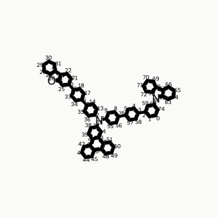 c1cc(-c2ccc(-c3ccc(N(c4ccc(-c5ccc(-c6ccc7c(c6)oc6ccccc67)cc5)cc4)c4ccc5c6ccccc6c6ccccc6c5c4)cc3)cc2)cc(-n2c3ccccc3c3ccccc32)c1